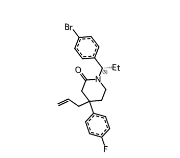 C=CCC1(c2ccc(F)cc2)CCN([C@@H](CC)c2ccc(Br)cc2)C(=O)C1